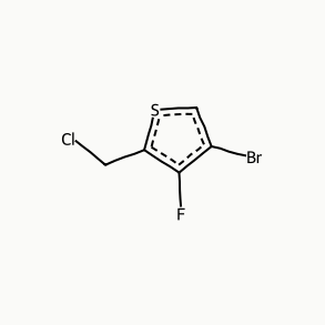 Fc1c(Br)csc1CCl